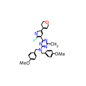 COc1ccc(CN(Cc2ccc(OC)cc2)c2nc(C)nc(-c3cc(C4=CCOCC4)cnc3F)n2)cc1